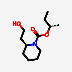 CC[C@H](C)OC(=O)N1CCCC[C@H]1CCO